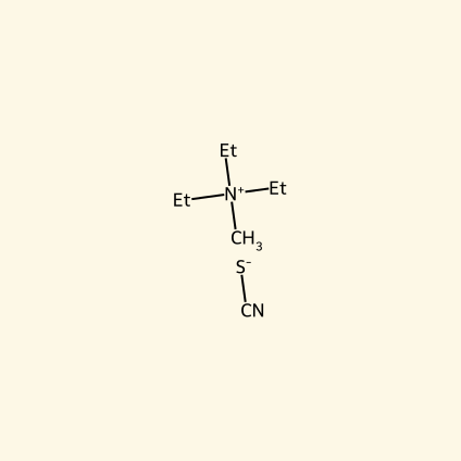 CC[N+](C)(CC)CC.N#C[S-]